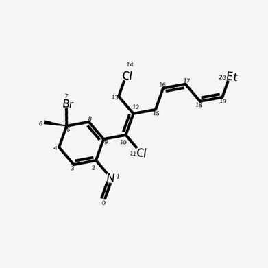 C=NC1=CC[C@](C)(Br)C=C1/C(Cl)=C(\CCl)C/C=C\C=C/CC